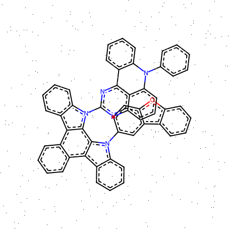 c1ccc(N2c3ccccc3-c3nc(-n4c5ccccc5c5c6ccccc6c6c7ccccc7n(-c7ccc8oc9ccccc9c8c7)c6c54)nc4cccc2c34)cc1